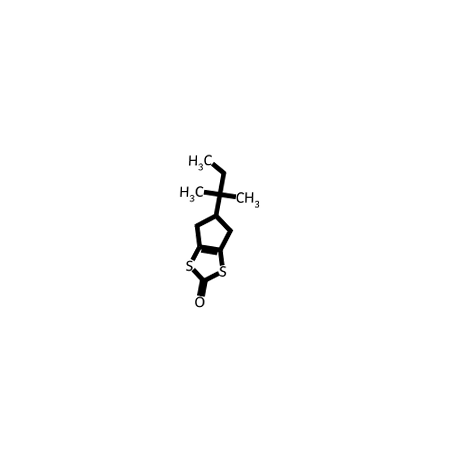 CCC(C)(C)C1Cc2sc(=O)sc2C1